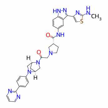 CNc1nc(-c2n[nH]c3ccc(NC(=O)[C@@H]4CCN(CC(=O)N5C[C@@H]6C[C@H]5CN6c5ccc(-c6ncccn6)cc5)C4)cc23)cs1